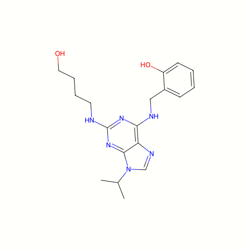 CC(C)n1cnc2c(NCc3ccccc3O)nc(NCCCCO)nc21